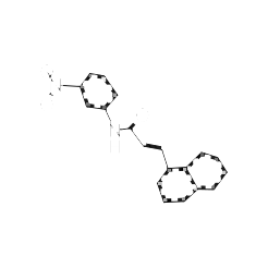 O=C(C=Cc1c[c]cc2ccccc12)Nc1cccc([N+](=O)[O-])c1